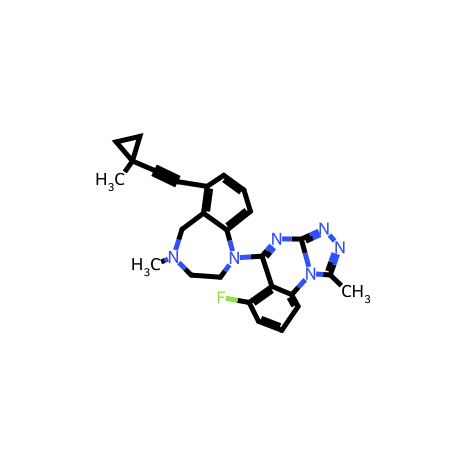 Cc1nnc2nc(N3CCN(C)Cc4c(C#CC5(C)CC5)cccc43)c3c(F)cccc3n12